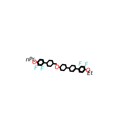 CCCOc1ccc(C2CCC(COC3CCC(C4CC=C(c5ccc(OCC)c(F)c5F)CC4)CC3)CC2)c(F)c1F